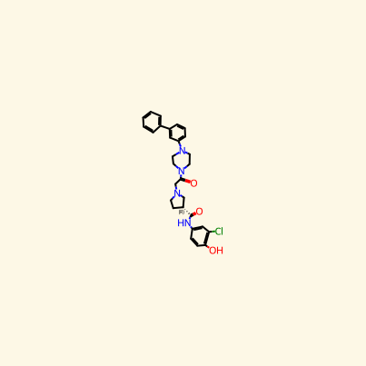 O=C(Nc1ccc(O)c(Cl)c1)[C@@H]1CCN(CC(=O)N2CCN(c3cccc(-c4ccccc4)c3)CC2)C1